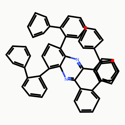 c1ccc(-c2ccccc2-c2nc3c(-c4ccccc4-c4ccccc4)ccc(-c4ccccc4-c4ccccc4)c3nc2-c2ccccc2-c2ccccc2)cc1